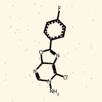 NN1C=NC2OC(c3ccc(F)cc3)=NC2=C1Cl